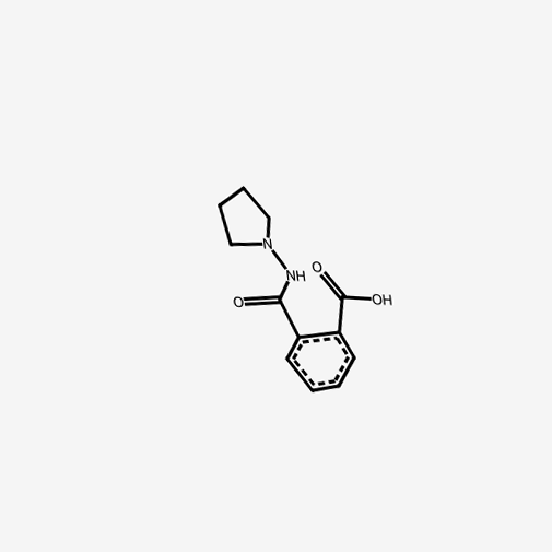 O=C(O)c1ccccc1C(=O)NN1CCCC1